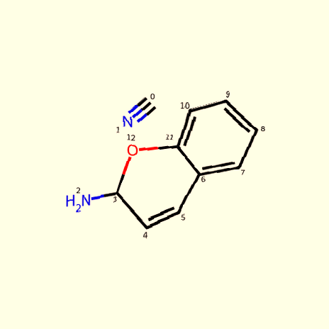 C#N.NC1C=Cc2ccccc2O1